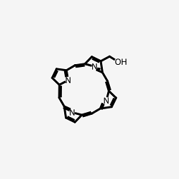 OCC1=CC2=CC3=NC(=CC4=NC(=CC5=NC(=CC1=N2)C=C5)C=C4)C=C3